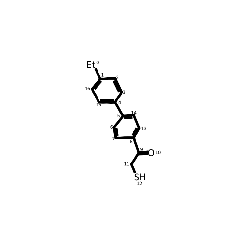 CCc1ccc(-c2ccc(C(=O)CS)cc2)cc1